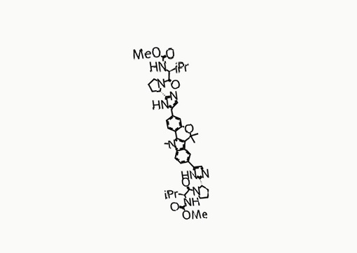 COC(=O)N[C@H](C(=O)N1CCC[C@H]1c1ncc(-c2ccc3c(c2)OC(C)(C)c2c-3n(C)c3ccc(-c4cnc([C@@H]5CCCN5C(=O)[C@@H](NC(=O)OC)C(C)C)[nH]4)cc23)[nH]1)C(C)C